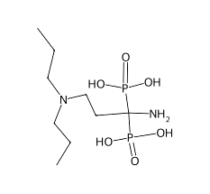 CCCN(CCC)CCC(N)(P(=O)(O)O)P(=O)(O)O